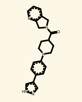 O=C(C1CCN(c2ccc(-c3cn[nH]c3)cc2)CC1)N1Cc2cccnc2C1